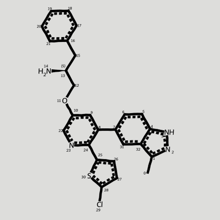 Cc1n[nH]c2ccc(-c3cc(OC[C@@H](N)Cc4ccccc4)cnc3-c3ccc(Cl)s3)cc12